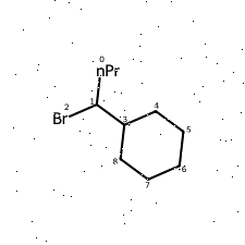 CCCC(Br)[C]1CC[CH]CC1